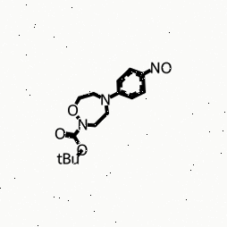 CC(C)(C)OC(=O)N1CCN(c2ccc(N=O)cc2)CCO1